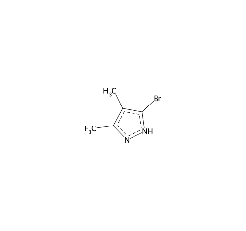 Cc1c(C(F)(F)F)n[nH]c1Br